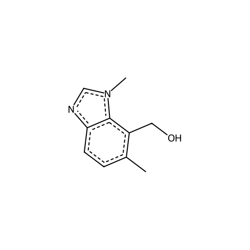 Cc1ccc2ncn(C)c2c1CO